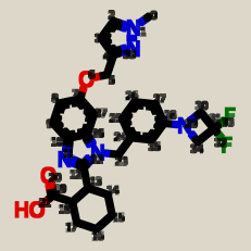 Cn1ccc(COc2ccc3nc(C4CCCCC4C(=O)O)n(Cc4cccc(N5CC(F)(F)C5)c4)c3c2)n1